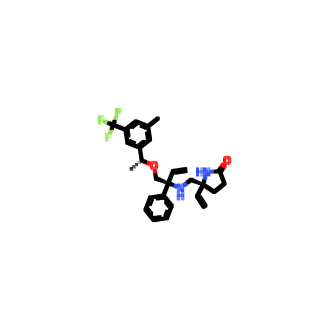 C=C[C@@]1(CN[C@](C=C)(CO[C@H](C)c2cc(C)cc(C(F)(F)F)c2)c2ccccc2)CCC(=O)N1